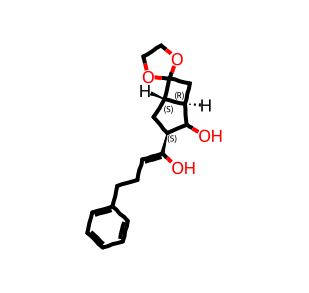 OC(=CCCc1ccccc1)[C@H]1C[C@H]2[C@@H](CC23OCCO3)C1O